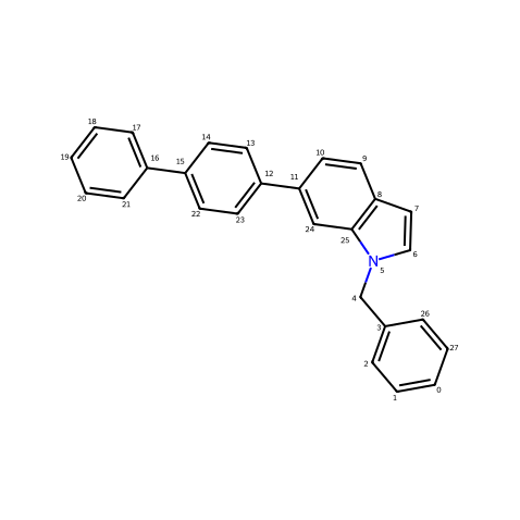 c1ccc(Cn2ccc3ccc(-c4ccc(-c5ccccc5)cc4)cc32)cc1